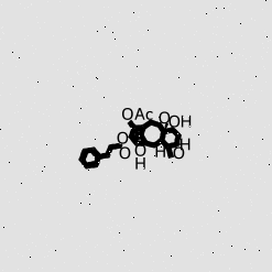 CC(=O)O[C@H]1C(=O)[C@@]2(C)C(C[C@]3(O)C[C@H](OC(=O)CCc4ccccc4)C(C)=C1C3(C)C)[C@@H]1CO[C@@H]1C[C@@H]2O